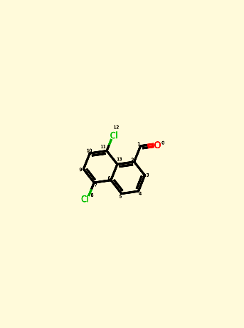 O=Cc1cccc2c(Cl)ccc(Cl)c12